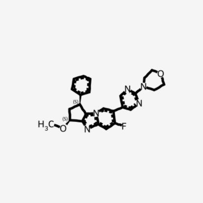 CO[C@H]1C[C@@H](c2ccccc2)c2c1nc1cc(F)c(-c3cnc(N4CCOCC4)nc3)cn21